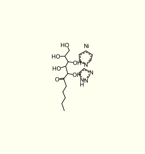 CCCCCC(=O)C(O)C(O)C(O)C(O)CO.[Ni].c1c[nH]nn1.c1ccncc1